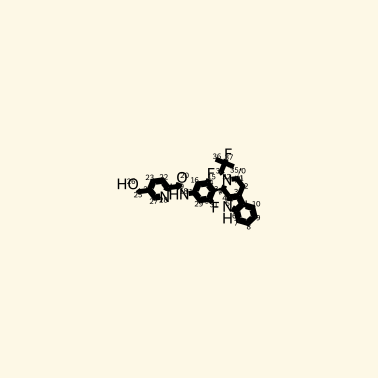 C[C@@H]1Cc2c([nH]c3ccccc23)[C@@H](c2c(F)cc(NC(=O)c3ccc(CO)cn3)cc2F)N1CC(C)(C)F